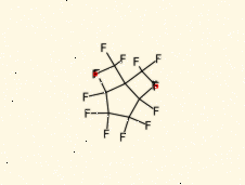 FC(F)(F)C1(C(F)(F)F)C(F)(F)C(F)(F)C(F)(F)C1(F)F